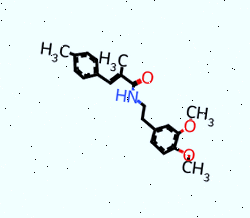 COc1ccc(CCNC(=O)C(C)=Cc2ccc(C)cc2)cc1OC